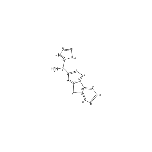 NC(c1ccc2c(c1)Cc1ccccc1-2)c1nccs1